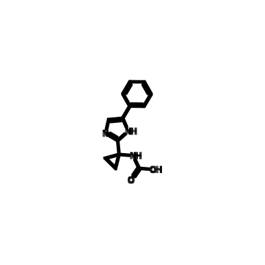 O=C(O)NC1(c2ncc(-c3ccccc3)[nH]2)CC1